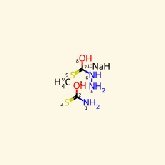 C.NC(O)=S.NNC(O)=S.[NaH]